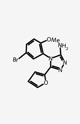 COc1ccc(Br)cc1-n1c(N)nnc1-c1ccco1